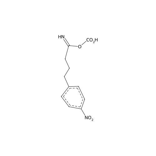 N=C(CCCc1ccc([N+](=O)[O-])cc1)OC(=O)O